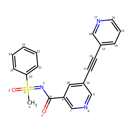 CS(=O)(=NC(=O)c1cncc(C#Cc2cccnc2)c1)c1ccccc1